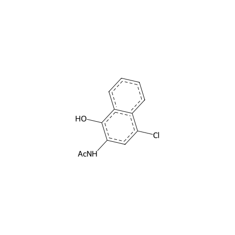 CC(=O)Nc1cc(Cl)c2ccccc2c1O